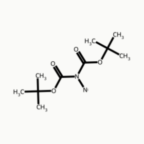 CC(C)(C)OC(=O)N([N])C(=O)OC(C)(C)C